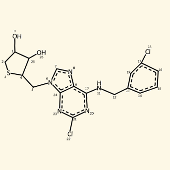 OC1CSC(Cn2cnc3c(NCc4cccc(Cl)c4)nc(Cl)nc32)C1O